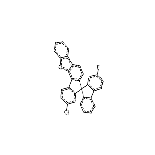 Fc1ccc2c(c1)C1(c3ccccc3-2)c2cc(Cl)ccc2-c2c1ccc1c2oc2ccccc21